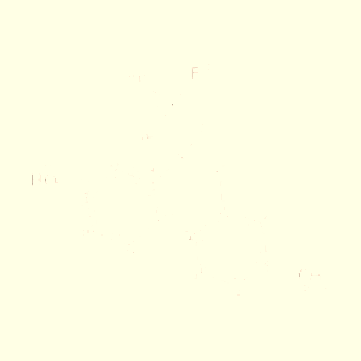 Cc1ccc2c(c1)CC1(CC(F)(F)C1)c1cc(O)ccc1-2